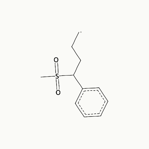 [CH2]CCC(c1ccccc1)S(C)(=O)=O